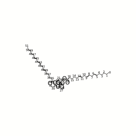 CCCCCC=CCC=CCC=CCCCCC(=O)OC(CC)OP(=O)(OC)OC(CC)OC(=O)CCCCC=CCC=CCC=CCCCCC